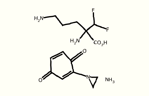 N.NCCCC(N)(C(=O)O)C(F)F.O=C1C=CC(=O)C(N2CC2)=C1